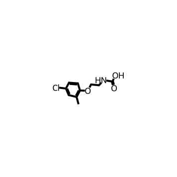 Cc1cc(Cl)ccc1OCCNC(=O)O